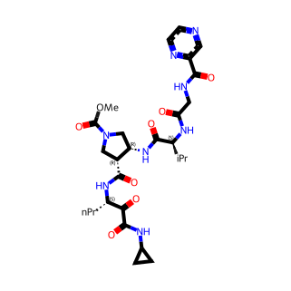 CCC[C@H](NC(=O)[C@@H]1CN(C(=O)OC)C[C@@H]1NC(=O)[C@@H](NC(=O)CNC(=O)c1cnccn1)C(C)C)C(=O)C(=O)NC1CC1